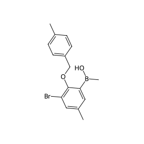 CB(O)c1cc(C)cc(Br)c1OCc1ccc(C)cc1